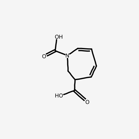 O=C(O)C1C=CC=CN(C(=O)O)C1